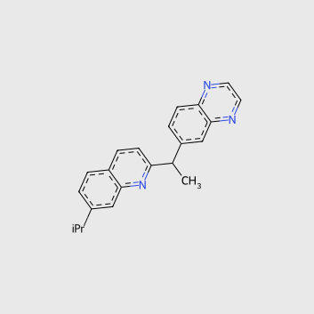 CC(C)c1ccc2ccc(C(C)c3ccc4nccnc4c3)nc2c1